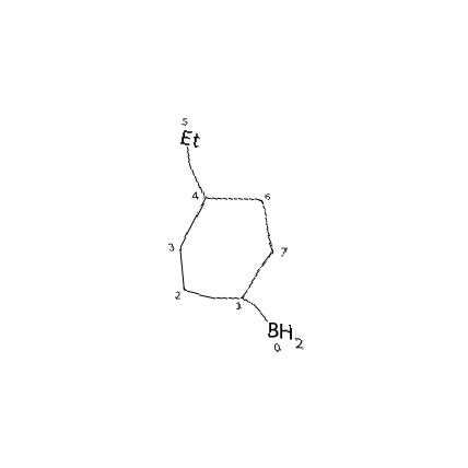 BC1CCC(CC)CC1